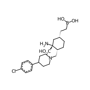 N[C@]1(C(=O)O)C[C@H](CCB(O)O)CC[C@@H]1CN1CCC(c2ccc(Cl)cc2)CC1